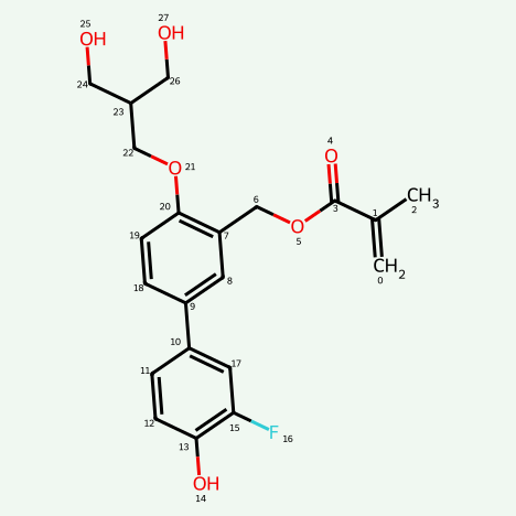 C=C(C)C(=O)OCc1cc(-c2ccc(O)c(F)c2)ccc1OCC(CO)CO